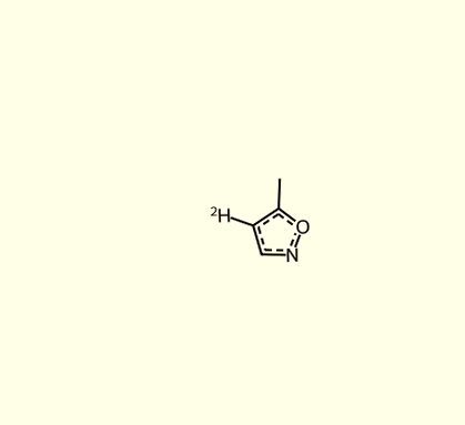 [2H]c1cnoc1C